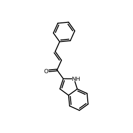 O=C(C=Cc1ccccc1)c1cc2ccccc2[nH]1